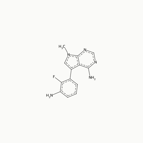 Cn1cc(-c2cccc(N)c2F)c2c(N)ncnc21